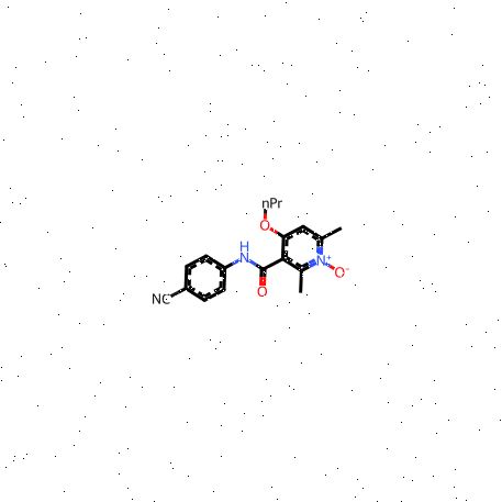 CCCOc1cc(C)[n+]([O-])c(C)c1C(=O)Nc1ccc(C#N)cc1